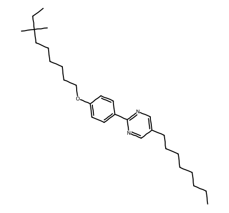 CCCCCCCCc1cnc(-c2ccc(OCCCCCCC(C)(C)CC)cc2)nc1